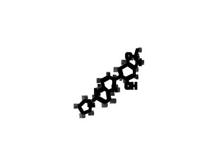 Cc1nc2cc(O)c(-c3ccc4nc(N5CCCC5)ccc4n3)cc2o1